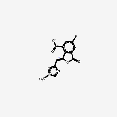 Cn1cnc(/C=C2\OC(=O)c3cc(F)cc([N+](=O)[O-])c32)n1